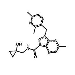 Cc1cnc(Cn2cc(C(=O)NCC3(O)CC3)c3ncc(C)nc32)c(C)n1